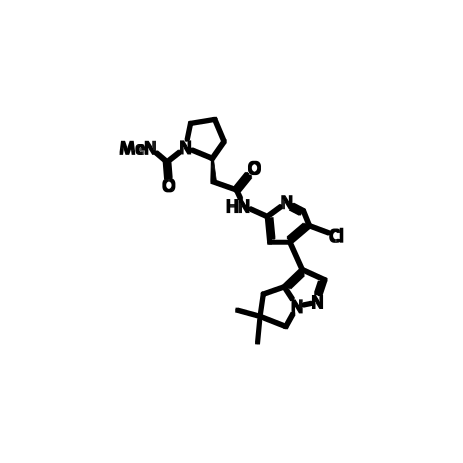 CNC(=O)N1CCC[C@H]1CC(=O)Nc1cc(-c2cnn3c2CC(C)(C)C3)c(Cl)cn1